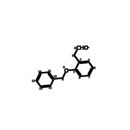 O=[C]Cc1ccccc1OCc1ccccc1